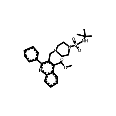 COC(=O)c1c(CN2CCN(S(=O)(=O)NC(C)(C)C)CC2)c(-c2ccccc2)nc2ccccc12